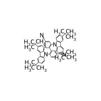 CC(C)(C)c1ccc2c(c1)c1cc(C(C)(C)C)ccc1n2-c1ccc(C#N)cc1-c1ccc(C#N)cc1-n1c2ccc(C(C)(C)C)cc2c2cc(C(C)(C)C)ccc21